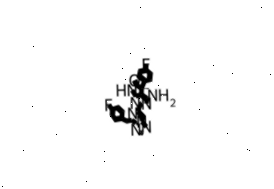 C[C@@]1(c2ccc(F)cc2)C(=O)Nc2nc(-c3cn4ncnc4c(Cc4ccc(F)cc4)n3)nc(N)c21